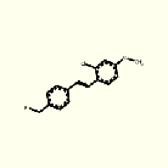 COc1ccc(C=Cc2ccc(CBr)cc2)c(Cl)c1